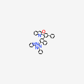 c1ccc(C2=NC(c3ccc(-c4cc(-c5ccccc5)cc5oc6cc7ccccc7nc6c45)c4ccccc34)NC(c3ccccc3)=N2)cc1